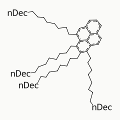 CCCCCCCCCCCCCCCCCCc1c(CCCCCCCCCCCCCCCCCC)c2ccc3cccc4cc(CCCCCCCCCCCCCCCCCC)c(c1CCCCCCCCCCCCCCCCCC)c2c34